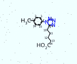 Cc1ccc(-n2nnnc2CCCCC(=O)O)cc1